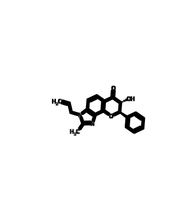 C=CCn1c(C)nc2c3c(ccc21)C(=O)[C@H](O)[C@@H](c1ccccc1)O3